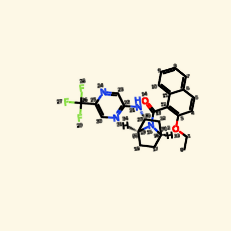 CCOc1ccc2ccccc2c1C(=O)N1[C@@H]2CC[C@H]1[C@H](Nc1cnc(C(F)(F)F)cn1)C2